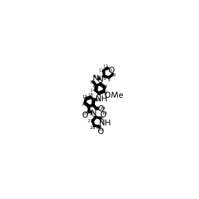 COc1cc2c(cnn2C2CCOCC2)cc1Nc1cccc2c1C(=O)N(C1CCC(=O)NC1=O)C2=O